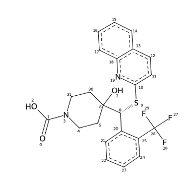 O=C(O)N1CCC(O)([C@H](Sc2ccc3ccccc3n2)c2ccccc2C(F)(F)F)CC1